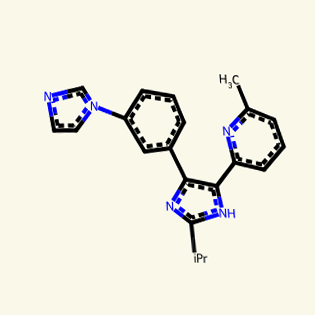 Cc1cccc(-c2[nH]c(C(C)C)nc2-c2cccc(-n3ccnc3)c2)n1